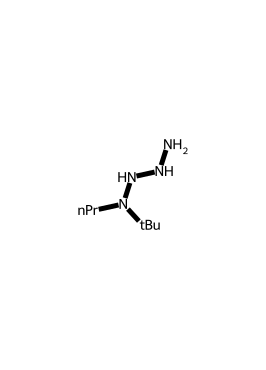 CCCN(NNN)C(C)(C)C